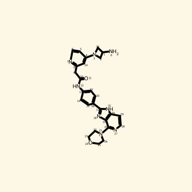 NC1CN(c2ccnc(CC(=O)Nc3ccc(-c4nc5c(N6CCOCC6)nccc5[nH]4)cc3)c2)C1